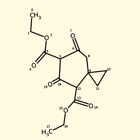 CCOC(=O)C1C(=O)CC2(CC2)C(C(=O)OCC)C1=O